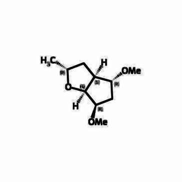 CO[C@@H]1C[C@@H](OC)[C@H]2O[C@H](C)C[C@H]21